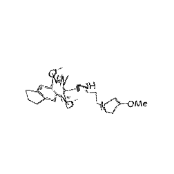 COC1CN(CCCNc2n[n+]([O-])c3cc4c(cc3[n+]2[O-])CCC4)C1